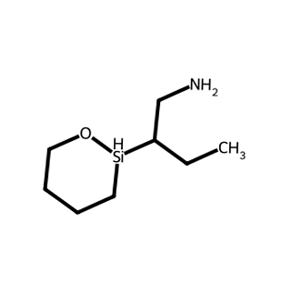 CCC(CN)[SiH]1CCCCO1